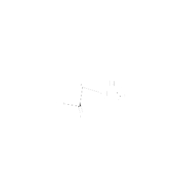 B.O=C([O-])CO.[Na+]